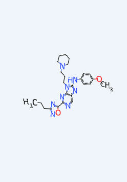 CCCc1noc(-c2ncc3nc(Nc4ccc(OC)cc4)n(CCCN4CCCCC4)c3n2)n1